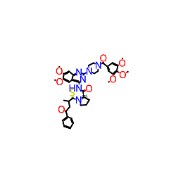 COc1cc2nc(N3CCN(C(=O)c4cc(OC)c(OC)c(OC)c4)CC3)nc(NC(=O)[C@H]3CCCN3C(=S)C(C)CC(=O)c3ccccc3)c2cc1OC